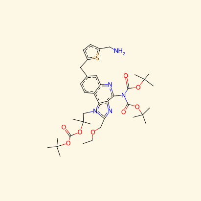 CCOCc1nc2c(N(C(=O)OC(C)(C)C)C(=O)OC(C)(C)C)nc3cc(Cc4ccc(CN)s4)ccc3c2n1CC(C)(C)OC(=O)OC(C)(C)C